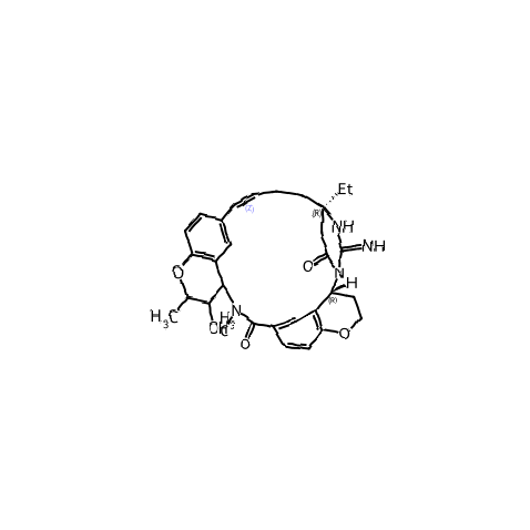 CC[C@]12CC/C=C\c3ccc4c(c3)C(C(O)C(C)O4)N(C)C(=O)c3ccc4c(c3)[C@@H](CCO4)N(C(=N)N1)C(=O)C2